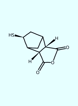 O=C1OC(=O)[C@H]2C3CC([C@@H]12)[C@@H](S)C3